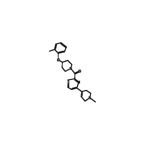 Cc1ccccc1OC1CCN(C(=O)c2cccc(C3=CCN(C)CC3)n2)CC1